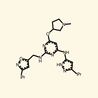 CC(C)c1cc(Nc2cc(OC3CCN(C)C3)nc(NCc3cc(C(C)C)no3)n2)[nH]n1